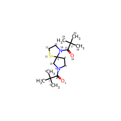 CC(C)(C)C(=O)N1CCC2(C1)SCCN2C(=O)C(C)(C)C